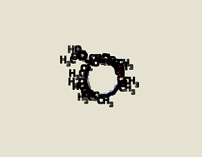 CO[C@H]1C[C@@H]2CC[C@@H](C)[C@@](O)(O2)C(=O)C(=O)N2CCCC[C@H]2C(=O)OC([C@H](C)C[C@@H]2CC[C@@H](O)[C@H](OC)C2)CC(=O)[C@H](C)/C=C(\C)[C@H](O)[C@H](OC)C(=O)[C@H](C)C[C@H](C)/C=C/C=C/C=C/1C